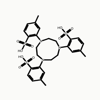 Cc1ccc(S(=O)(=O)O)c(N2CCN(c3cc(C)ccc3S(=O)(=O)O)CCN(c3cc(C)ccc3S(=O)(=O)O)CC2)c1